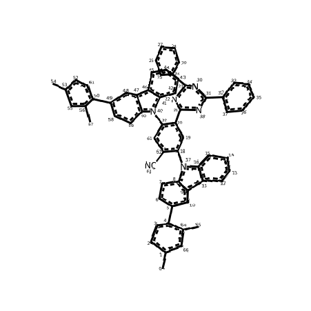 Cc1ccc(-c2ccc3c(c2)c2ccccc2n3-c2cc(-c3nc(-c4ccccc4)nc(-c4ccccc4)n3)c(-n3c4ccccc4c4cc(-c5ccc(C)cc5C)ccc43)cc2C#N)c(C)c1